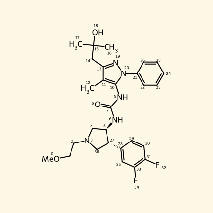 COCCN1C[C@@H](NC(=O)Nc2c(C)c(CC(C)(C)O)nn2-c2ccccc2)[C@H](c2ccc(F)c(F)c2)C1